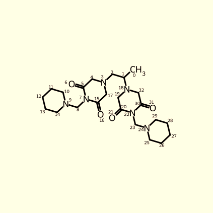 CC(CN1CC(=O)N(CN2CCCCC2)C(=O)C1)N1CC(=O)N(CN2CCCCC2)C(=O)C1